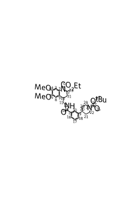 CCOC(=O)N1c2cc(OC)c(OC)cc2C(CNC(=O)c2cccc(C3CCN(C(=O)OC(C)(C)C)CC3)c2)CC1C